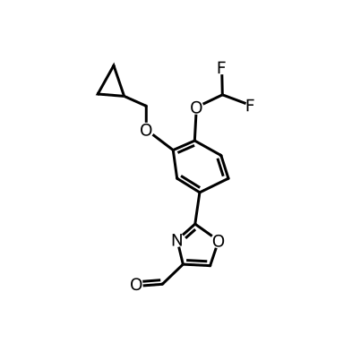 O=Cc1coc(-c2ccc(OC(F)F)c(OCC3CC3)c2)n1